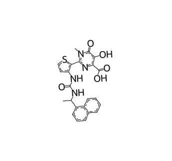 CC(NC(=O)Nc1ccsc1-c1nc(C(=O)O)c(O)c(=O)n1C)c1cccc2ccccc12